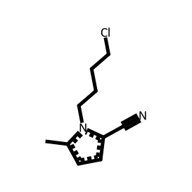 Cc1ccc(C#N)n1CCCCCl